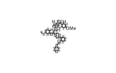 COc1ccc2c(c1)CC(C(=O)N[C@H](Cc1ccc(CI)cc1)C(=O)N1CCN(c3ccccc3OCCN3CCOCC3)CC1)NC2(C)C